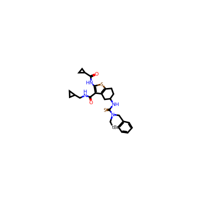 CC(C)(C)CN(Cc1ccccc1)C(=S)NC1CCc2sc(NC(=O)C3CC3)c(C(=O)NCC3CC3)c2C1